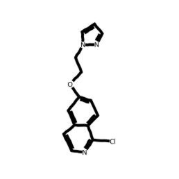 Clc1nccc2cc(OCCn3cccn3)ccc12